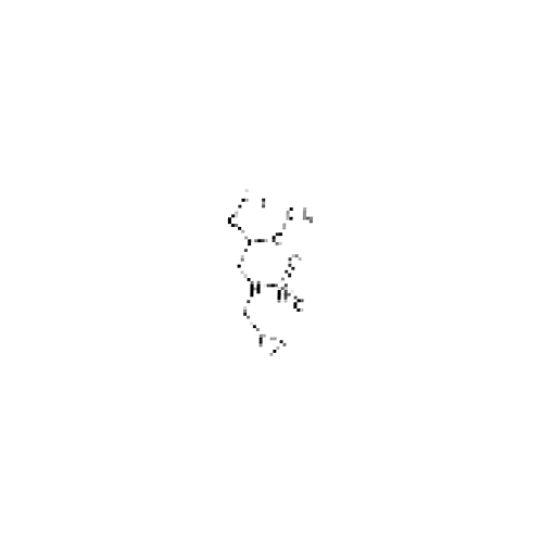 COC(CN(CC1CC1)[SH](=O)=O)OC